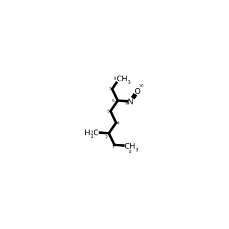 CCC(C)CCC(CC)N=O